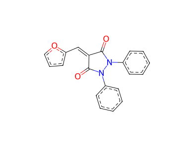 O=C1C(=Cc2ccco2)C(=O)N(c2ccccc2)N1c1ccccc1